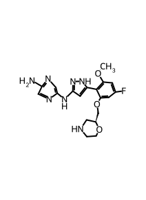 COc1cc(F)cc(OC[C@@H]2CNCCO2)c1-c1cc(Nc2cnc(N)cn2)n[nH]1